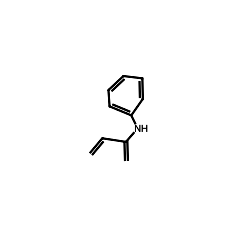 C=CC(=C)Nc1ccccc1